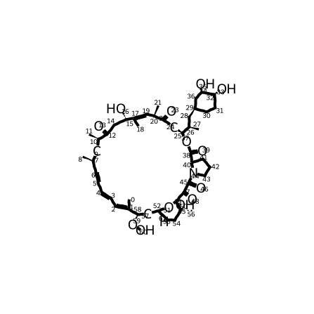 C\C1=C/C=C/C=C/[C@@H](C)C[C@@H](C)C(=O)C[C@H](O)/C(C)=C/[C@@H](C)C(=O)C[C@@H]([C@H](C)C[C@@H]2CC[C@@H](O)[C@H](O)C2)OC(=O)C2CCCN2C(=O)C(=O)[C@]2(O)O[C@@H](CC[C@H]2C)C[C@@H]1OO